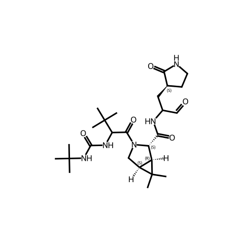 CC(C)(C)NC(=O)NC(C(=O)N1C[C@H]2[C@@H]([C@H]1C(=O)NC(C=O)C[C@@H]1CCNC1=O)C2(C)C)C(C)(C)C